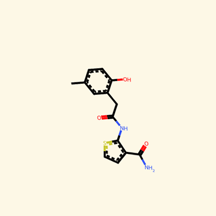 Cc1ccc(O)c(CC(=O)Nc2sccc2C(N)=O)c1